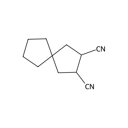 N#CC1CC2(CCCC2)CC1C#N